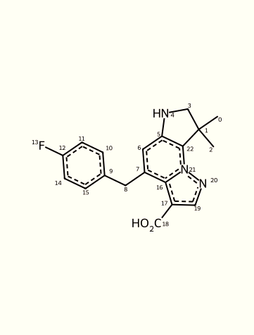 CC1(C)CNc2cc(Cc3ccc(F)cc3)c3c(C(=O)O)cnn3c21